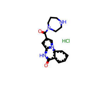 Cl.O=C(c1cc2[nH]c(=O)c3ccccc3n2c1)N1CCCNCC1